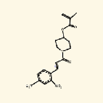 C=C(C)C(=O)OC1CCN(C(=O)/C=C/c2ccc([N+](=O)[O-])cc2[N+](=O)[O-])CC1